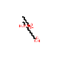 CCC(O)O.CCCCCCCC(=O)O.CCCCCCCCCC(=O)O